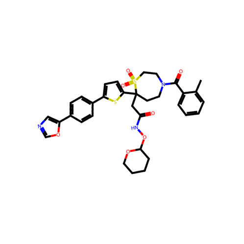 Cc1ccccc1C(=O)N1CCC(CC(=O)NOC2CCCCO2)(c2ccc(-c3ccc(-c4cnco4)cc3)s2)S(=O)(=O)CC1